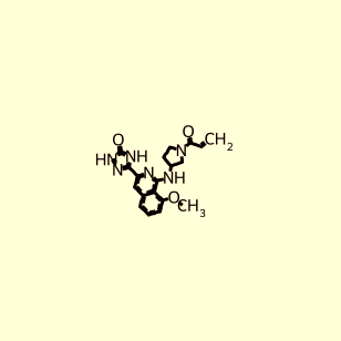 C=CC(=O)N1CCC(Nc2nc(-c3n[nH]c(=O)[nH]3)cc3cccc(OC)c23)C1